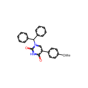 COc1ccc(-c2cn(C(c3ccccc3)c3ccccc3)c(=O)[nH]c2=O)cc1